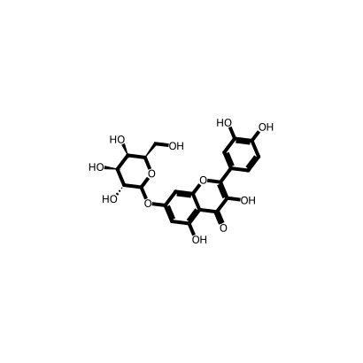 O=c1c(O)c(-c2ccc(O)c(O)c2)oc2cc(OC3O[C@H](CO)[C@H](O)[C@H](O)[C@H]3O)cc(O)c12